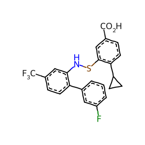 O=C(O)c1ccc(C2CC2)c(SNc2cc(C(F)(F)F)ccc2-c2cccc(F)c2)c1